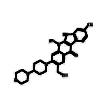 CC(C)n1c2cc(N3CCC(N4CCOCC4)CC3)c(CO)cc2c(=O)c2c3ccc(C#N)cc3[nH]c21